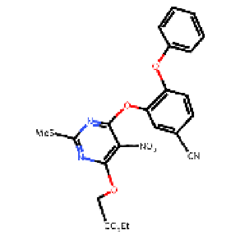 CCOC(=O)COc1nc(SC)nc(Oc2cc(C#N)ccc2Oc2ccccc2)c1[N+](=O)[O-]